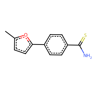 Cc1ccc(-c2ccc(C(N)=S)cc2)o1